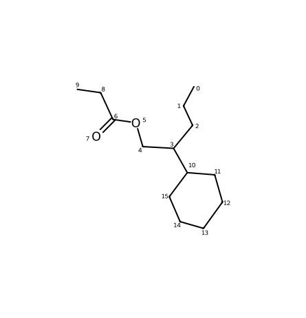 CCCC(COC(=O)CC)C1CCCCC1